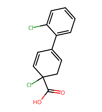 O=C(O)C1(Cl)C=CC(c2ccccc2Cl)=CC1